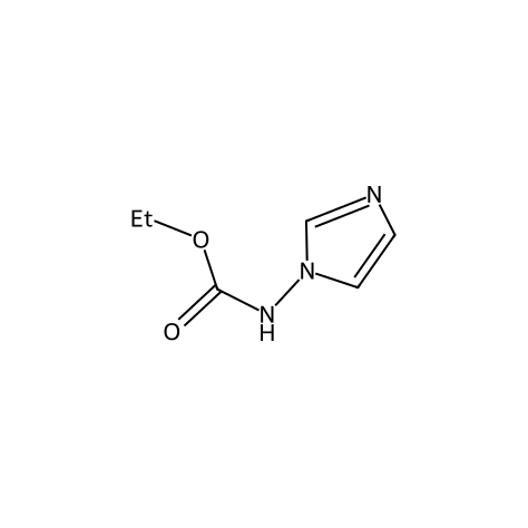 CCOC(=O)Nn1ccnc1